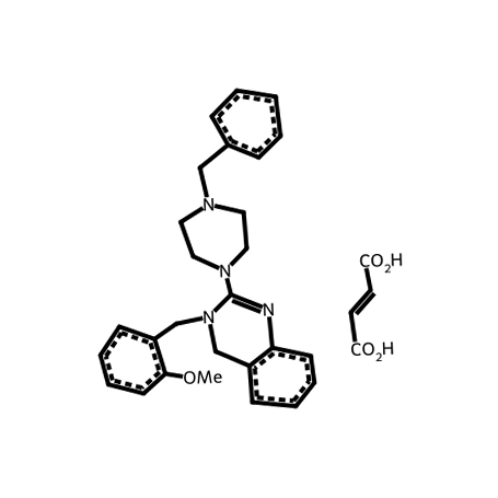 COc1ccccc1CN1Cc2ccccc2N=C1N1CCN(Cc2ccccc2)CC1.O=C(O)C=CC(=O)O